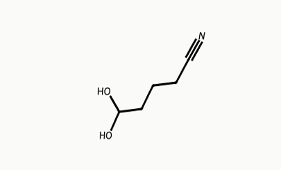 N#CCCCC(O)O